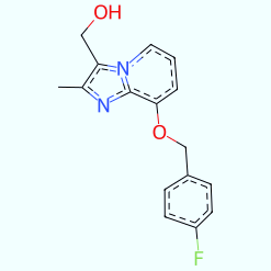 Cc1nc2c(OCc3ccc(F)cc3)cccn2c1CO